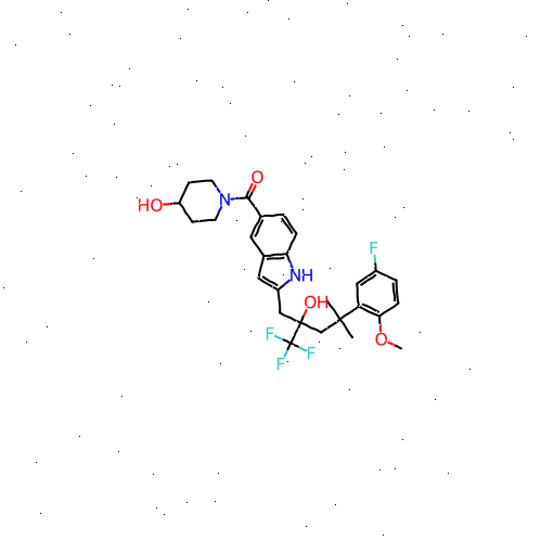 COc1ccc(F)cc1C(C)(C)CC(O)(Cc1cc2cc(C(=O)N3CCC(O)CC3)ccc2[nH]1)C(F)(F)F